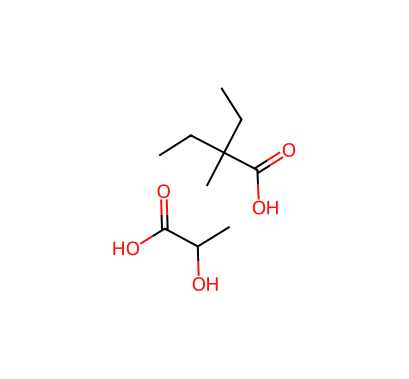 CC(O)C(=O)O.CCC(C)(CC)C(=O)O